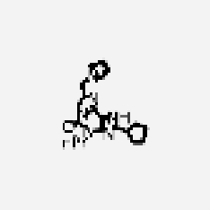 CCCN1C(=O)N2CC(Cn3cccc3)N=C2c2[nH]c(C3CCCC3)nc21